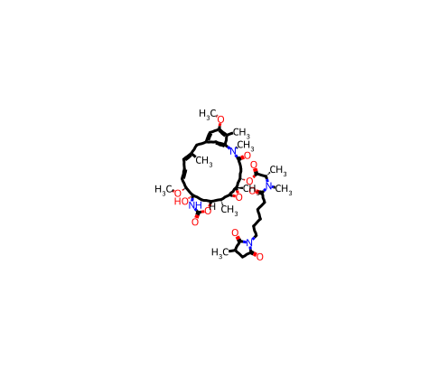 COc1cc2cc(c1C)N(C)C(=O)C[C@H](OC(=O)[C@H](C)N(C)C(=O)CCCCCN1C(=O)CC(C)C1=O)[C@]1(C)OC1[C@H](C)[C@@H]1C[C@@](O)(NC(=O)O1)[C@H](OC)/C=C/C=C(\C)C2